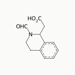 O=CN1CCc2ccccc2C1CC(=O)O